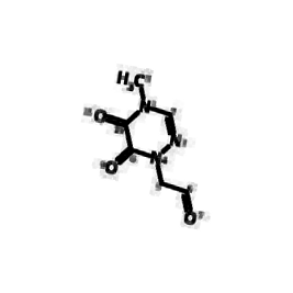 Cn1[c]nn(CC=O)c(=O)c1=O